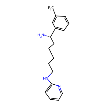 N[C@@H](CCCCCNc1ccccn1)c1cccc(C(F)(F)F)c1